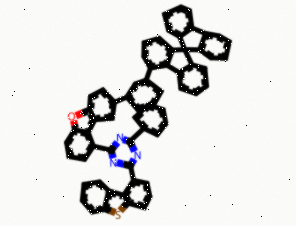 c1ccc(-c2nc(-c3cccc4oc5ccc(-c6cccc(-c7cccc8c7-c7ccccc7C87c8ccccc8-c8ccccc87)c6)cc5c34)nc(-c3cccc4sc5ccccc5c34)n2)cc1